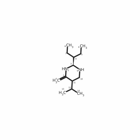 C=C1N[C@@H](C(CC)CC)NCC1C(C)C